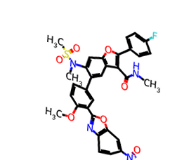 CNC(=O)c1c(-c2ccc(F)cc2)oc2cc(N(C)S(C)(=O)=O)c(-c3ccc(OC)c(-c4nc5ccc([N+](=O)[O-])cc5o4)c3)cc12